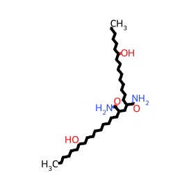 CCCCCCC(O)CCCCCCCCCC(CC(CCCCCCCCCC(O)CCCCCC)C(N)=O)C(N)=O